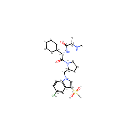 CN[C@@H](C)C(=O)N[C@H](C(=O)N1CCC[C@H]1Cn1cc(S(C)(=O)=O)c2cc(Cl)ccc21)C1CCCCC1